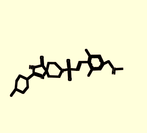 CNCc1cc(C)c(C=CS(=O)(=O)N2CCC3(CC2)N=C(C2CCC(C)CC2)NC3=O)c(C)c1